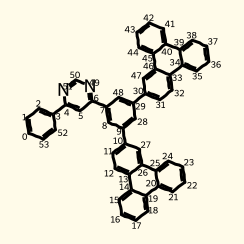 c1ccc(-c2cc(-c3cc(-c4ccc5c6ccccc6c6ccccc6c5c4)cc(-c4ccc5c6ccccc6c6ccccc6c5c4)c3)ncn2)cc1